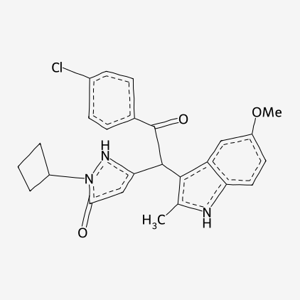 COc1ccc2[nH]c(C)c(C(C(=O)c3ccc(Cl)cc3)c3cc(=O)n(C4CCC4)[nH]3)c2c1